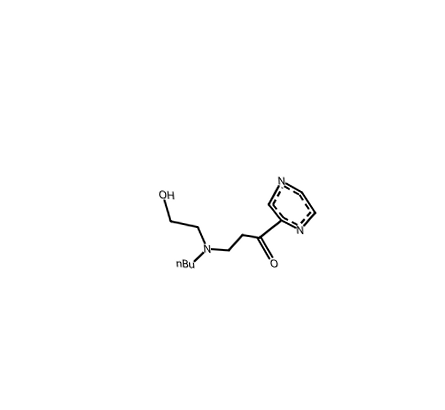 CCCCN(CCO)CCC(=O)c1cnccn1